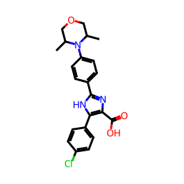 CC1COCC(C)N1c1ccc(-c2nc(C(=O)O)c(-c3ccc(Cl)cc3)[nH]2)cc1